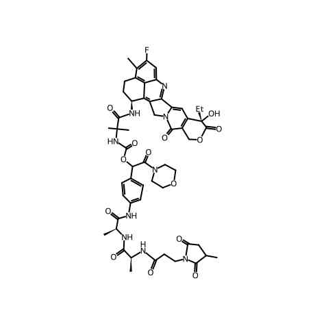 CC[C@@]1(O)C(=O)OCc2c1cc1n(c2=O)Cc2c-1nc1cc(F)c(C)c3c1c2[C@@H](NC(=O)C(C)(C)NC(=O)OC(C(=O)N1CCOCC1)c1ccc(NC(=O)[C@H](C)NC(=O)[C@H](C)NC(=O)CCN2C(=O)CC(C)C2=O)cc1)CC3